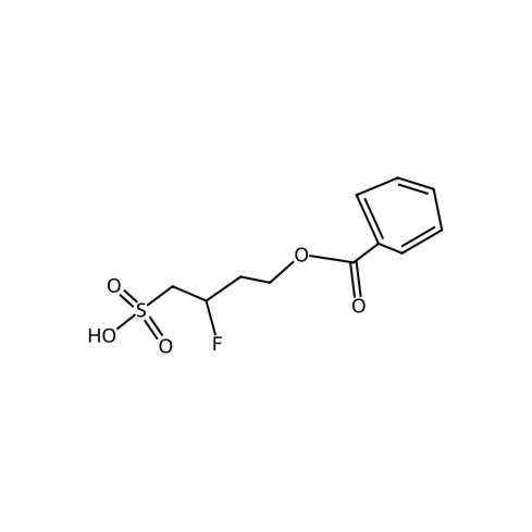 O=C(OCCC(F)CS(=O)(=O)O)c1ccccc1